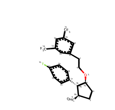 O=C[C@@H]1CC[C@H](OCCc2cc(C(F)(F)F)cc(C(F)(F)F)c2)[C@H]1c1ccc(F)cc1